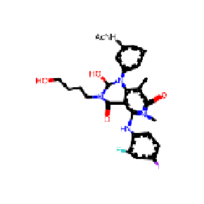 CC(=O)Nc1cccc(N2c3c(c(Nc4ccc(I)cc4F)n(C)c(=O)c3C)C(=O)N(CCCCO)C2O)c1